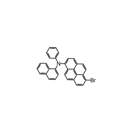 Brc1ccc2ccc3c(N(c4ccccc4)c4cccc5ccccc45)ccc4ccc1c2c43